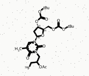 CC(=O)OC(C[18F])Cn1c(=O)c(C)cn([C@H]2C[C@H](OC(=O)OC(C)(C)C)[C@@H](COC(=O)OC(C)(C)C)O2)c1=O